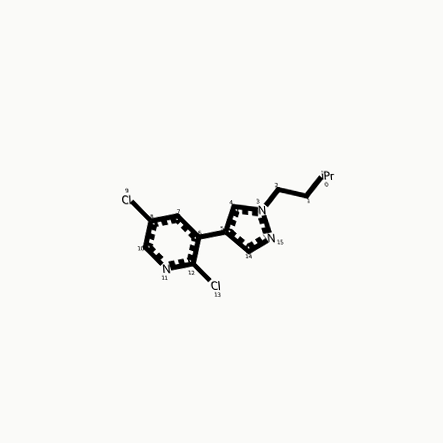 CC(C)CCn1cc(-c2cc(Cl)cnc2Cl)cn1